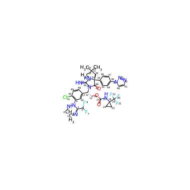 C=NN(/C(=N\C)C(F)F)c1cc([C@@H](COC(=O)NC2(C(F)(F)F)CC2)N2C(=N)N[C@](CC(C)(C)C)(c3ccc(-n4ccnn4)cc3)C2=O)ccc1Cl